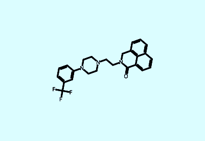 O=C1c2cccc3cccc(c23)CN1CCN1CCN(c2cccc(C(F)(F)F)c2)CC1